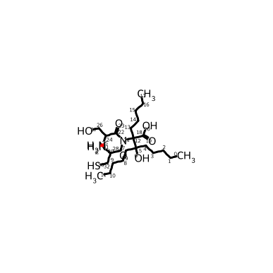 CCCCCC(O)(CCCCC)C(CCCCC)(C(=O)O)N(C(=O)C(N)CO)C(=O)C(N)CS